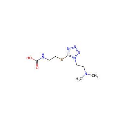 CN(C)CCn1nnnc1SCCNC(=O)O